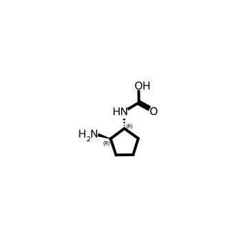 N[C@@H]1CCC[C@H]1NC(=O)O